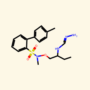 CCC(CON(C)S(=O)(=O)c1ccccc1-c1ccc(C)cc1)NC=NN